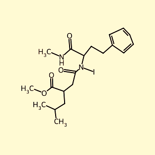 CNC(=O)C(CCc1ccccc1)N(I)C(=O)CC(CC(C)C)C(=O)OC